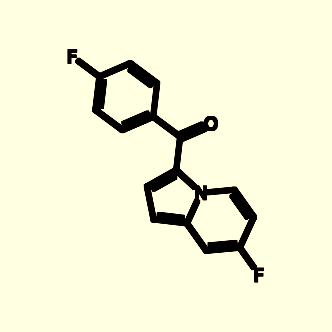 O=C(c1ccc(F)cc1)c1ccc2cc(F)ccn12